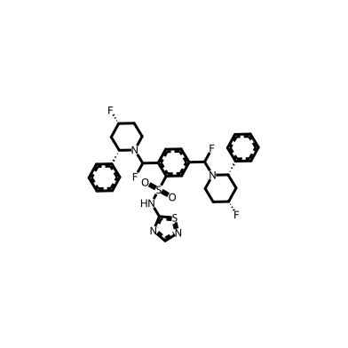 O=S(=O)(Nc1ncns1)c1cc(C(F)N2CC[C@@H](F)C[C@H]2c2ccccc2)ccc1C(F)N1CC[C@@H](F)C[C@H]1c1ccccc1